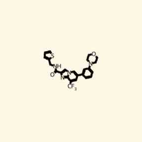 O=C(NCc1cccs1)c1cn2cc(-c3cccc(N4CCOCC4)c3)cc(C(F)(F)F)c2n1